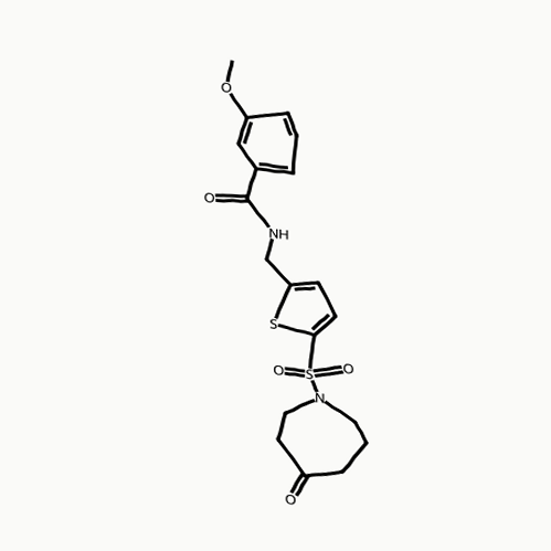 COc1cccc(C(=O)NCc2ccc(S(=O)(=O)N3CCCC(=O)CC3)s2)c1